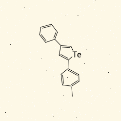 Cc1ccc(-c2cc(-c3ccccc3)c[te]2)cc1